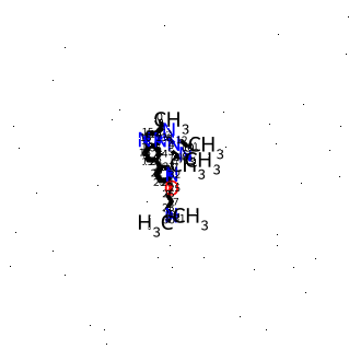 Cc1nc(N2C[C@@H](C)N(C)[C@@H](C)C2)n2c1cnc1ccc(-c3ccc(OCCCN(C)C)nc3)cc12